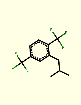 CC(C)Cc1cc(C(F)(F)F)ccc1C(F)(F)F